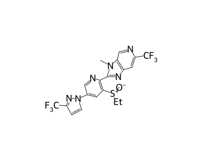 CC[S+]([O-])c1cc(-n2ccc(C(F)(F)F)n2)cnc1-c1nc2cc(C(F)(F)F)ncc2n1C